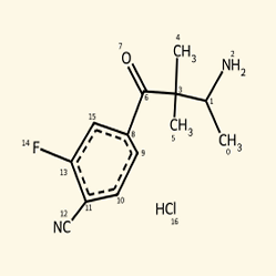 CC(N)C(C)(C)C(=O)c1ccc(C#N)c(F)c1.Cl